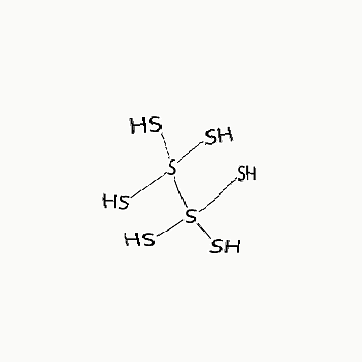 SS(S)(S)S(S)(S)S